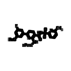 CCCCCNc1nc(-c2cc(F)cc(OCC(C)C)c2)ccc1C(=O)NS(=O)(=O)c1cccc(C)n1